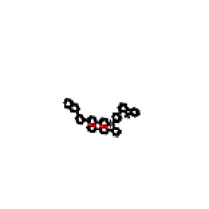 CC1(C)c2ccccc2-c2cccc(-c3ccc(N(c4ccc(-c5ccc(-c6cccc(-c7ccc8ccccc8c7)c6)cc5)cc4)c4ccccc4-c4ccc(-c5ccccc5)cc4)cc3)c21